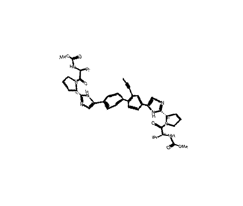 CC#Cc1cc(-c2cnc([C@@H]3CCCN3C(=O)[C@@H](NC(=O)OC)C(C)C)[nH]2)ccc1-c1ccc(-c2cnc([C@@H]3CCCN3C(=O)C(NC(=O)OC)C(C)C)[nH]2)cc1